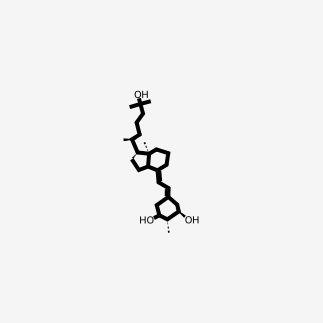 C[C@@H]1C(O)C/C(=C\C=C2/CCC[C@@]3(C)C2CC[C@@H]3[C@@H](C)CCCC(C)(C)O)C[C@H]1O